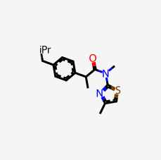 Cc1csc(N(C)C(=O)C(C)c2ccc(CC(C)C)cc2)n1